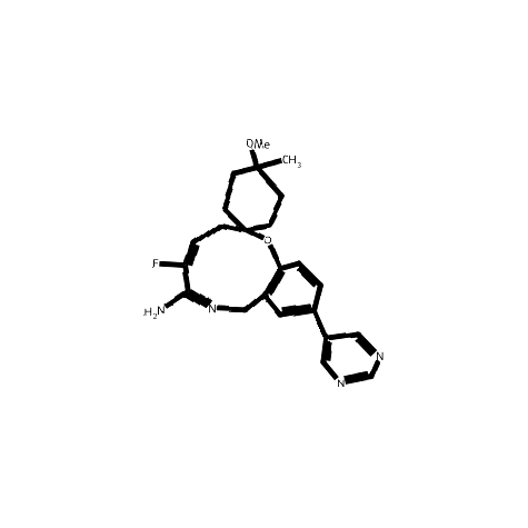 COC1(C)CCC2(C/C=C(F)\C(N)=N/Cc3cc(-c4cncnc4)ccc3O2)CC1